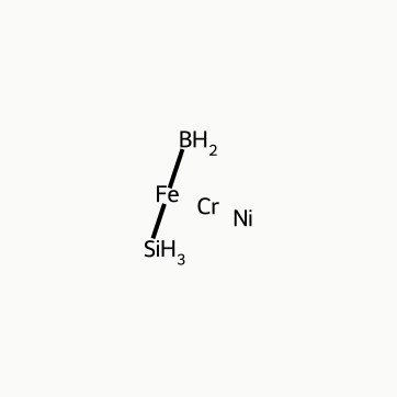 [BH2][Fe][SiH3].[Cr].[Ni]